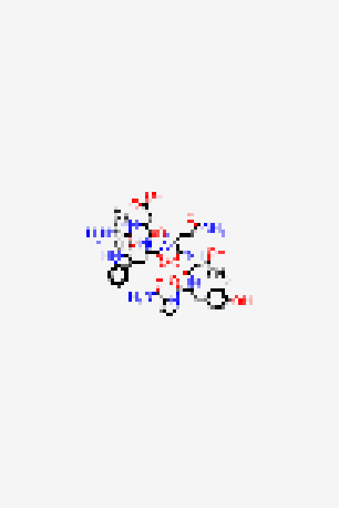 C[C@@H](O)[C@H](NC(=O)[C@H](CCC(N)=O)NC(=O)[C@H](Cc1c[nH]c2ccccc12)NC(=O)[C@H](CC(=O)O)NC(=O)C(C)(C)N)C(=O)N[C@@H](Cc1ccc(O)cc1)C(=O)N1CCC[C@H]1C(N)=O